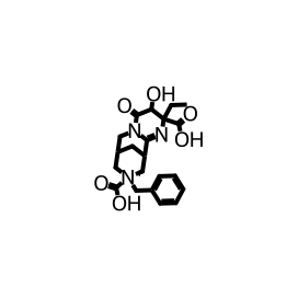 CCC1(C(=O)O)N=C2C3CC(CN2C(=O)C1O)C[N+](Cc1ccccc1)(C(=O)O)C3